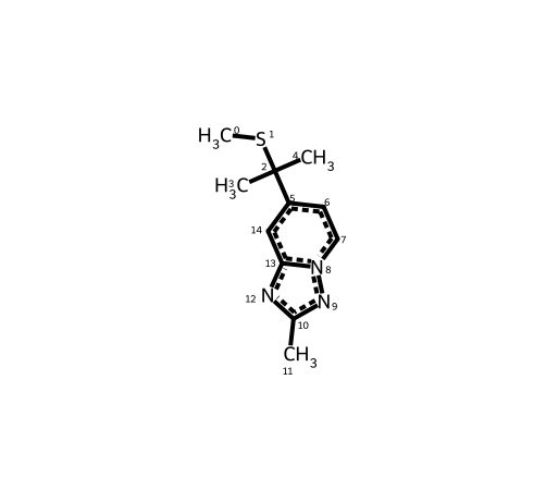 CSC(C)(C)c1ccn2nc(C)nc2c1